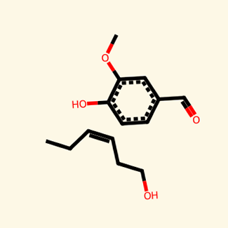 CC/C=C\CCO.COc1cc(C=O)ccc1O